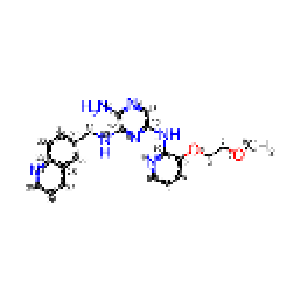 COCCOc1cccnc1Nc1cnc(N)c(NCc2ccc3ncccc3c2)n1